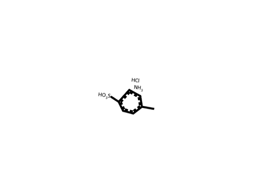 Cc1ccc(S(=O)(=O)O)cc1.Cl.N